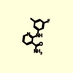 Cc1cc(F)cc(Nc2ncccc2C(N)=O)c1